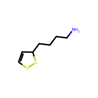 NCCCCC1C=CSS1